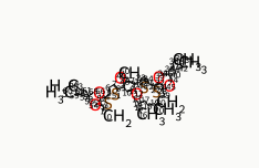 C=Cc1sc(-c2ccc(-c3cc(OCC(CC)CCCC)c(-c4ccc(-c5sc(C=C)c6c5OCC(CCCC)(CCCC)CO6)s4)cc3OC)s2)c2c1OCC(CCCC)(CCCC)CO2